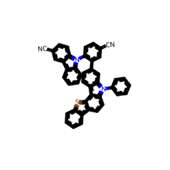 N#Cc1ccc(-n2c3ccccc3c3cc(C#N)ccc32)c(-c2ccc3c4c5sc6ccccc6c5ccc4n(-c4ccccc4)c3c2)c1